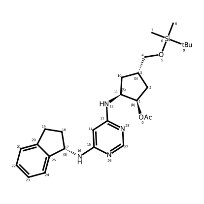 CC(=O)O[C@@H]1C[C@@H](CO[Si](C)(C)C(C)(C)C)C[C@@H]1Nc1cc(N[C@H]2CCc3ccccc32)ncn1